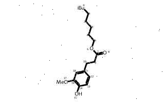 CCC(C)CCCCCOC(=O)CCc1ccc(O)c(OC)c1